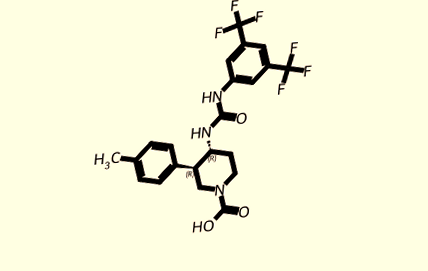 Cc1ccc([C@@H]2CN(C(=O)O)CC[C@H]2NC(=O)Nc2cc(C(F)(F)F)cc(C(F)(F)F)c2)cc1